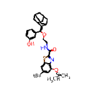 C[SiH](C)Oc1cc(C(C)(C)C)cc2sc(C(=O)NCCOC(=C3C4CC5CC(C4)CC3C5)c3cccc(O)c3)nc12